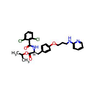 CC(C)OC(=O)[C@H](Cc1ccc(OCCCNc2ccccn2)cc1)NC(=O)c1c(Cl)cccc1Cl